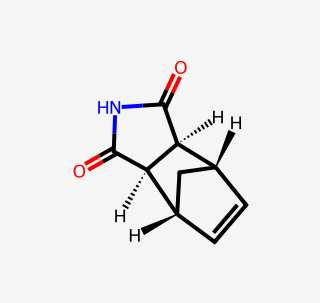 O=C1NC(=O)[C@H]2[C@@H]1[C@@H]1C=C[C@H]2C1